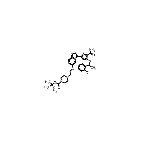 CC(Oc1cc(-c2cnc3ccc(OCCN4CCN(C(=O)OC(C)(C)C)CC4)cn23)sc1C(N)=O)c1ccccc1Cl